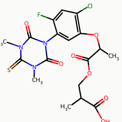 CC(COC(=O)C(C)Oc1cc(-n2c(=O)n(C)c(=S)n(C)c2=O)c(F)cc1Cl)C(=O)O